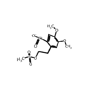 COc1cc(CCOS(C)(=O)=O)c([N+](=O)[O-])cc1OC